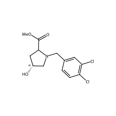 COC(=O)C1C[C@@H](O)CN1Cc1ccc(Cl)c(Cl)c1